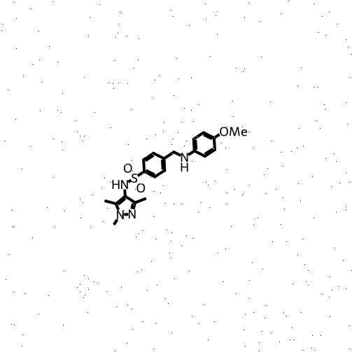 COc1ccc(NCc2ccc(S(=O)(=O)Nc3c(C)nn(C)c3C)cc2)cc1